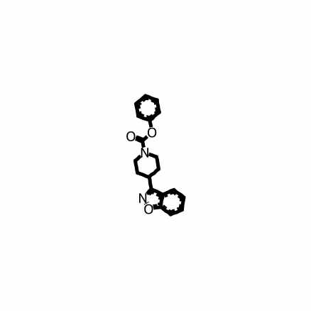 O=C(Oc1ccccc1)N1CCC(c2noc3ccccc23)CC1